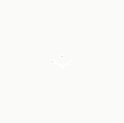 CCSC#N.I